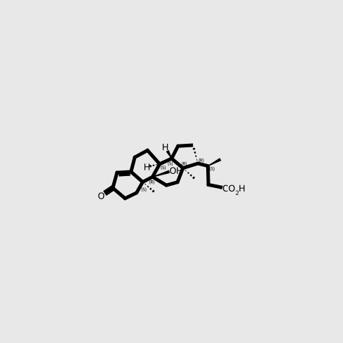 C[C@@H](CC(=O)O)[C@H]1CC[C@H]2[C@@H]3CCC4=CC(=O)CC[C@]4(C)[C@@]3(O)CC[C@]12C